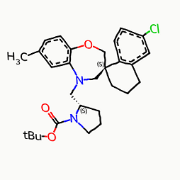 Cc1ccc2c(c1)N(C[C@@H]1CCCN1C(=O)OC(C)(C)C)C[C@@]1(CCCc3cc(Cl)ccc31)CO2